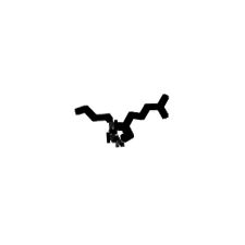 CCCCn1nncc1CCCC(C)C